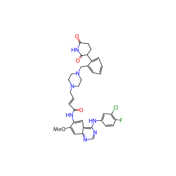 COc1cc2ncnc(Nc3ccc(F)c(Cl)c3)c2cc1NC(=O)/C=C/CN1CCN(Cc2ccccc2C2CCC(=O)NC2=O)CC1